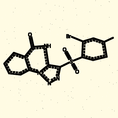 Cc1ccc(S(=O)(=O)c2nnn3c2[nH]c(=O)c2ccccc23)c(Br)c1